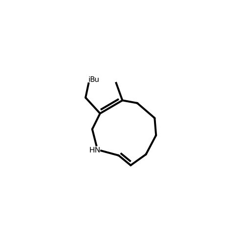 CCC(C)C/C1=C(\C)CCCC/C=C/NC1